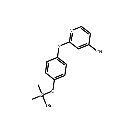 CC(C)(C)[Si](C)(C)Oc1ccc(Nc2cc(C#N)ccn2)cc1